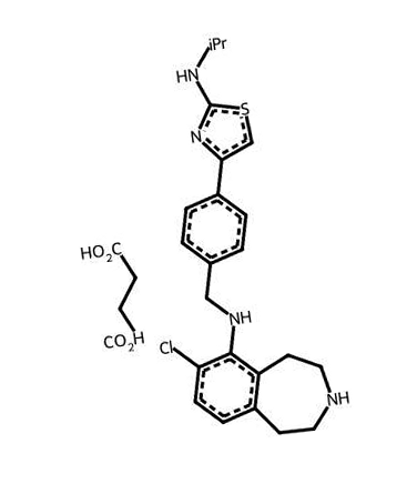 CC(C)Nc1nc(-c2ccc(CNc3c(Cl)ccc4c3CCNCC4)cc2)cs1.O=C(O)CCC(=O)O